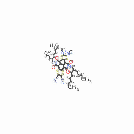 [C-]#[N+]c1sc2c(sc1[N+]#[C-])c1c(=O)n(CC(CCCC)CCCCCC)c(=O)c3c4sc(C#N)c(C#N)sc4c4c(=O)n(CC(CCCC)CCCCCC)c(=O)c2c4c31